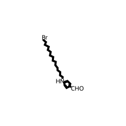 O=Cc1ccc(NCCCCCCCCCCCCCCCCBr)cc1